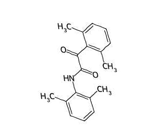 Cc1cccc(C)c1NC(=O)C(=O)c1c(C)cccc1C